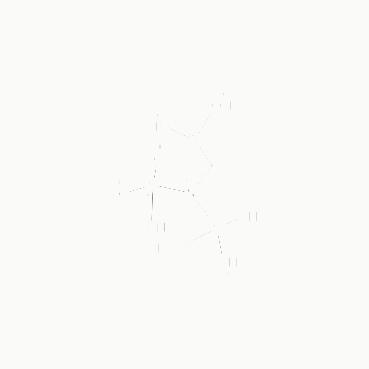 CC(C)[C@@H](B(O)O)N([Si](C)(C)C)[Si](C)(C)C